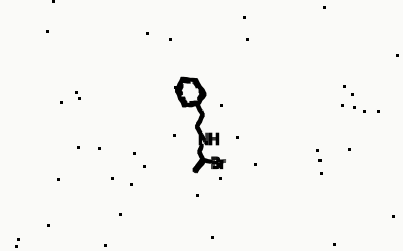 C=C(Br)CNCCc1ccccc1